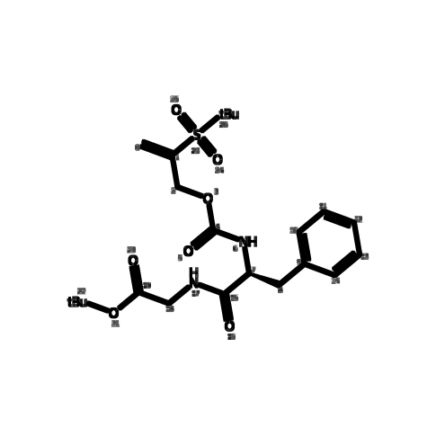 C=C(COC(=O)N[C@@H](Cc1ccccc1)C(=O)NCC(=O)OC(C)(C)C)S(=O)(=O)C(C)(C)C